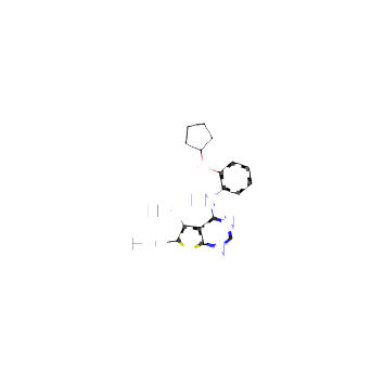 Cc1sc2ncnc(Nc3ccccc3OC3CCCC3)c2c1C